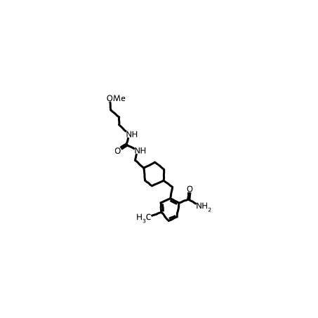 COCCCNC(=O)NCC1CCC(Cc2cc(C)ccc2C(N)=O)CC1